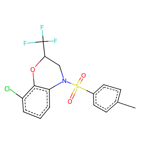 Cc1ccc(S(=O)(=O)N2CC(C(F)(F)F)Oc3c(Cl)cccc32)cc1